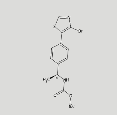 C[C@H](NC(=O)OC(C)(C)C)c1ccc(-c2scnc2Br)cc1